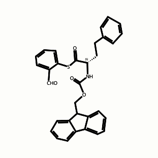 O=Cc1ccccc1SC(=O)[C@H](CCc1ccccc1)NC(=O)OCC1c2ccccc2-c2ccccc21